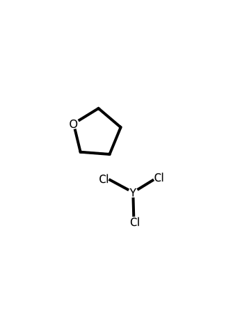 C1CCOC1.[Cl][Y]([Cl])[Cl]